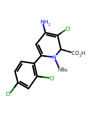 CCCCN1C(c2ccc(Cl)cc2Cl)=CC(N)=C(Cl)C1C(=O)O